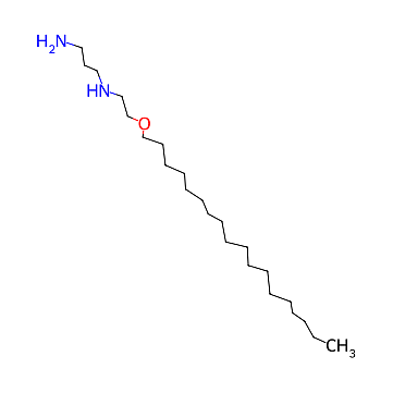 CCCCCCCCCCCCCCCCCCOCCNCCCN